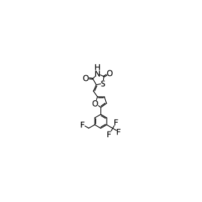 O=C1NC(=O)C(=Cc2ccc(-c3cc(CF)cc(C(F)(F)F)c3)o2)S1